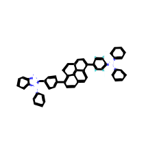 Fc1c(F)c(N(c2ccccc2)c2ccccc2)c(F)c(F)c1-c1ccc2ccc3c(-c4ccc(-c5nc6ccccc6n5-c5ccccc5)cc4)ccc4ccc1c2c43